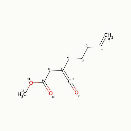 C=CCCCC(=C=O)CC(=O)OC